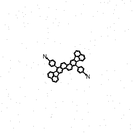 N#Cc1ccc(-c2c3c(cc4c2ccc2c5cc6c(c(-c7ccc(C#N)cc7)c5ccc42)-c2cccc4cccc-6c24)-c2cccc4cccc-3c24)cc1